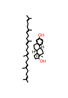 CC(C)=CCC/C(C)=C/CC/C(C)=C/CC/C=C(\C)CC/C=C(\C)CCC=C(C)C.C[C@]12CC[C@@H]3c4ccc(O)cc4CC[C@H]3[C@@H]1CC[C@@H]2O